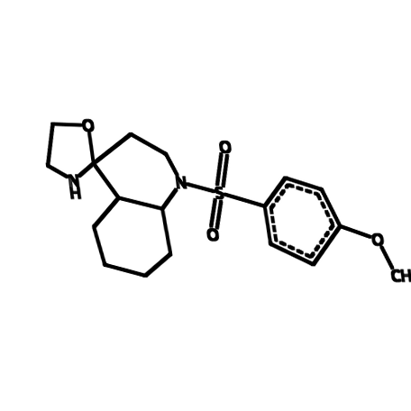 COc1ccc(S(=O)(=O)N2CCC3(NCCO3)C3CCCCC32)cc1